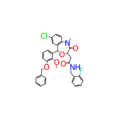 COc1c(OCc2ccccc2)cccc1C1OC(CC(=O)NCc2ccccc2F)C(=O)N(C)c2ccc(Cl)cc21